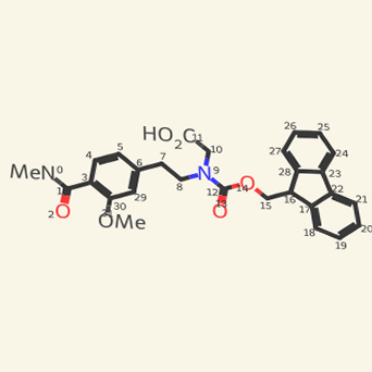 CNC(=O)c1ccc(CCN(CC(=O)O)C(=O)OCC2c3ccccc3-c3ccccc32)cc1OC